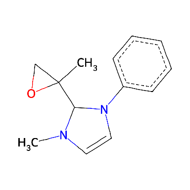 CN1C=CN(c2ccccc2)C1C1(C)CO1